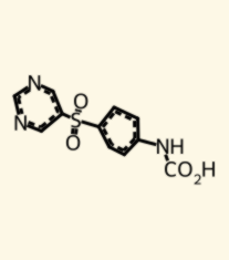 O=C(O)Nc1ccc(S(=O)(=O)c2cncnc2)cc1